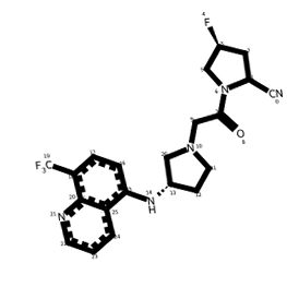 N#CC1C[C@H](F)CN1C(=O)CN1CC[C@H](Nc2ccc(C(F)(F)F)c3ncccc23)C1